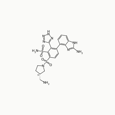 NC[C@@H]1CCN(S(=O)(=O)c2ccc(-c3cccc4[nH]c(N)nc34)c(-c3nn[nH]n3)c2S(N)(=O)=O)C1